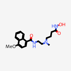 COc1ccc(C(=O)NCCN(C)CCCC(=O)NO)c2ccccc12